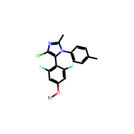 CCOc1cc(F)c(-c2c(Cl)nc(C)n2-c2ccc(C)cc2)c(F)c1